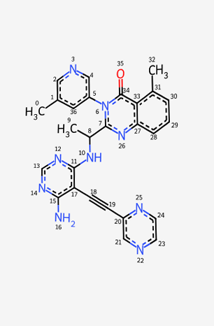 Cc1cncc(-n2c(C(C)Nc3ncnc(N)c3C#Cc3cnccn3)nc3cccc(C)c3c2=O)c1